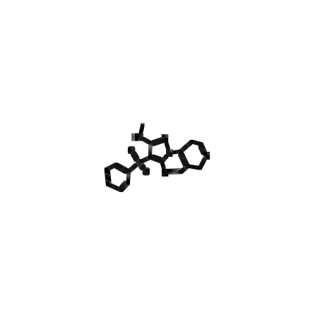 CNc1nn2c3c(cnc2c1S(=O)(=O)c1ccccc1)CN=CC3